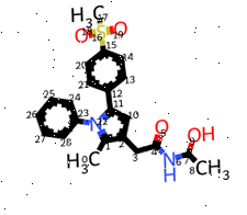 Cc1c(CC(=O)NC(C)O)cc(-c2ccc(S(C)(=O)=O)cc2)n1-c1ccccc1